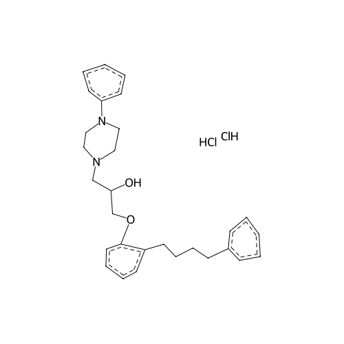 Cl.Cl.OC(COc1ccccc1CCCCc1ccccc1)CN1CCN(c2ccccc2)CC1